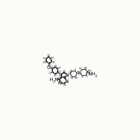 CC1(N)CCN([C@H]2CC[C@@H](n3cc(-c4ccc(Oc5ccccc5)cc4)c4c(N)ncnc43)CC2)CC1